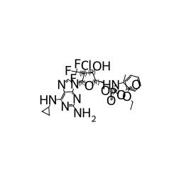 CCOC(=O)C(C)N[P@@](=O)(OC[C@H]1O[C@@H](n2cnc3c(NC4CC4)nc(N)nc32)[C@@](Cl)(C(F)(F)F)[C@@H]1O)Oc1ccccc1